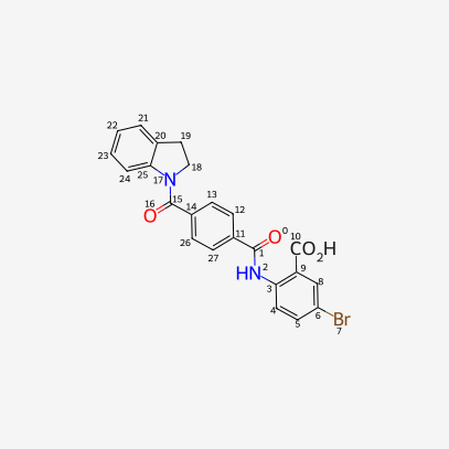 O=C(Nc1ccc(Br)cc1C(=O)O)c1ccc(C(=O)N2CCc3ccccc32)cc1